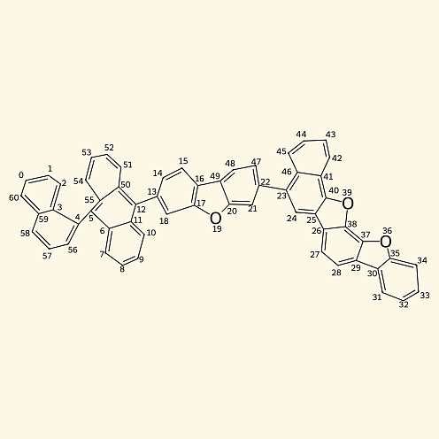 c1ccc2c(-c3c4ccccc4c(-c4ccc5c(c4)oc4cc(-c6cc7c8ccc9c%10ccccc%10oc9c8oc7c7ccccc67)ccc45)c4ccccc34)cccc2c1